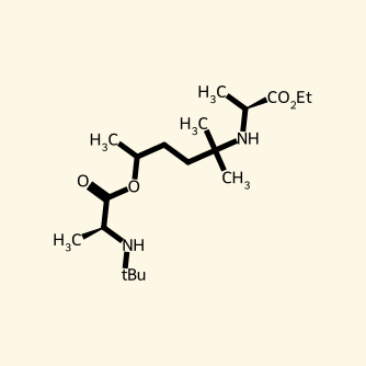 CCOC(=O)[C@H](C)NC(C)(C)CCC(C)OC(=O)[C@H](C)NC(C)(C)C